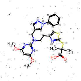 COc1cc(OC)nc(N(CCc2csc(SC(C)(C)C(=O)O)n2)Cc2cnn(-c3ccccc3)c2)n1